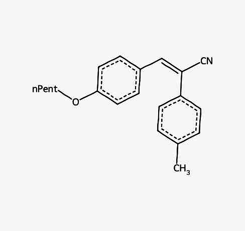 CCCCCOc1ccc(C=C(C#N)c2ccc(C)cc2)cc1